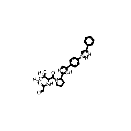 CC(C)[C@H](NC(=O)C=O)C(=O)N1CCCC1c1ncc(-c2ccc(-n3cc(-c4ccccc4)nn3)cc2)[nH]1